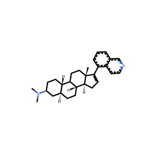 CN(C)[C@H]1CC[C@@H]2C3CC[C@]4(C)C(c5cccc6cnccc56)=CC[C@H]4[C@@H]3CC[C@H]2C1